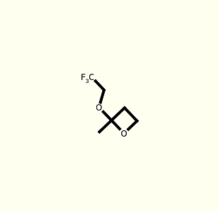 CC1(OCC(F)(F)F)CCO1